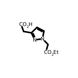 CCOC(=O)Cn1ccc(CC(=O)O)n1